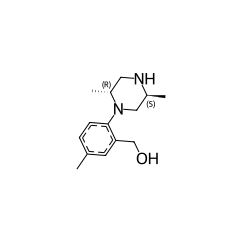 Cc1ccc(N2C[C@H](C)NC[C@H]2C)c(CO)c1